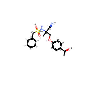 CC(=O)c1ccc(OCC(C)(C#N)NS(=O)(=O)Cc2ccccc2)cc1